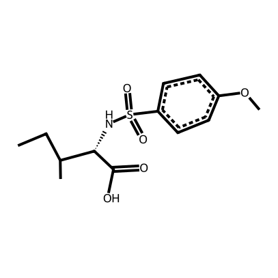 CCC(C)[C@H](NS(=O)(=O)c1ccc(OC)cc1)C(=O)O